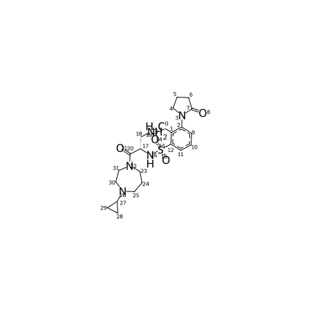 Cc1c(N2CCCC2=O)cccc1S(=O)(=O)N[C@@H](CN)C(=O)N1CCCN(C2CC2)CC1